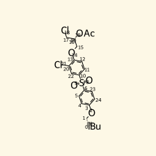 CC[C@@H](C)COc1ccc(S(=O)(=O)c2ccc(OC[C@H](CCl)OC(C)=O)c(Cl)c2)cc1